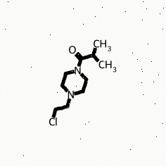 CC(C)C(=O)N1CCN(CCCl)CC1